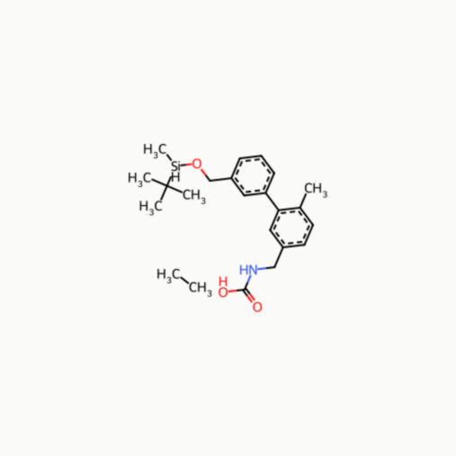 CC.Cc1ccc(CNC(=O)O)cc1-c1cccc(CO[SiH](C)C(C)(C)C)c1